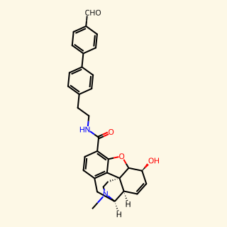 CN1CC[C@]23c4c5ccc(C(=O)NCCc6ccc(-c7ccc(C=O)cc7)cc6)c4OC2[C@@H](O)C=C[C@H]3[C@H]1C5